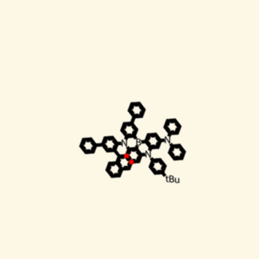 CC(C)(C)c1ccc(N2c3cc(N(c4ccccc4)c4ccccc4)ccc3B3c4cc(-c5ccccc5)ccc4N(c4ccc(-c5ccccc5)cc4-c4cccc5ccccc45)c4cccc2c43)cc1